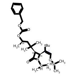 C[C@H](CC(C)(C)[C@@H]1C(=O)N([SiH](C)C)[C@@H]1/C(=C\O[SiH](C)C)C(C)(C)C)OC(=O)OCc1ccccc1